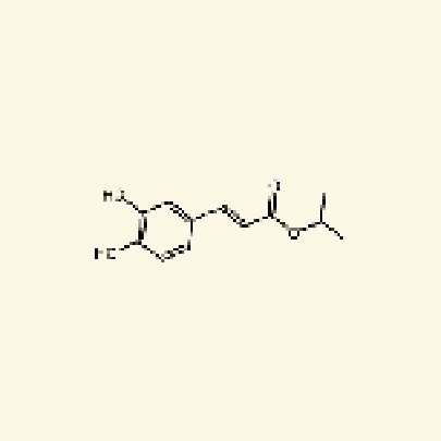 CC(C)OC(=O)C=Cc1ccc(O)c(O)c1